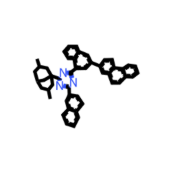 CC1CC2CC(C)CC(c3nc(-c4ccc5ccccc5c4)nc(-c4cc(-c5ccc6c(ccc7ccccc76)c5)cc5ccccc45)n3)(C1)C2